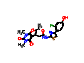 Cc1oc2c(c1CC(=O)Nc1nc(-c3ccc(O)cc3F)cs1)c(=O)n(C)c(=O)n2C